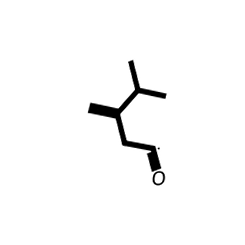 C=C(C[C]=O)C(C)C